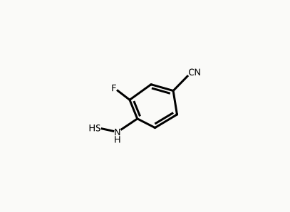 N#Cc1ccc(NS)c(F)c1